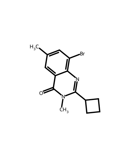 Cc1cc(Br)c2nc(C3CCC3)n(C)c(=O)c2c1